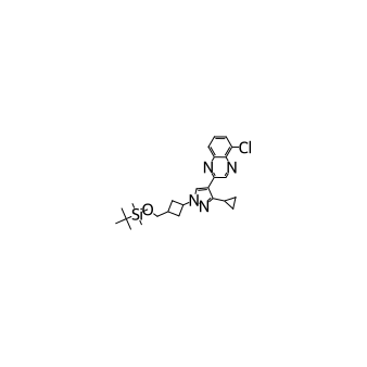 CC(C)(C)[Si](C)(C)OCC1CC(n2cc(-c3cnc4c(Cl)cccc4n3)c(C3CC3)n2)C1